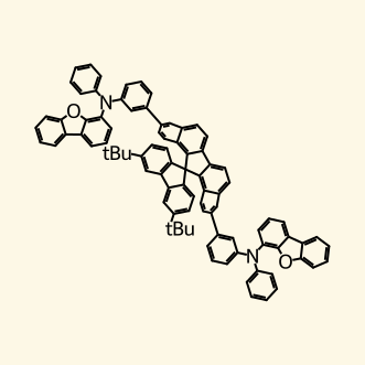 CC(C)(C)c1ccc2c(c1)-c1cc(C(C)(C)C)ccc1C21c2c(ccc3cc(-c4cccc(N(c5ccccc5)c5cccc6c5oc5ccccc56)c4)ccc23)-c2ccc3cc(-c4cccc(N(c5ccccc5)c5cccc6c5oc5ccccc56)c4)ccc3c21